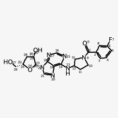 O=C(c1cccc(F)c1)N1CCC(Nc2ncnc3c2ncn3[C@@H]2O[C@H](CO)C[C@H]2O)C1